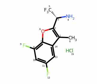 Cc1c([C@@H](N)C(F)(F)F)oc2c(F)cc(F)cc12.Cl